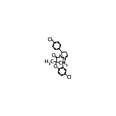 CC(C)(Oc1ccc(Cl)cc1F)C(=O)N1N=CCC1c1ccc(Cl)cc1